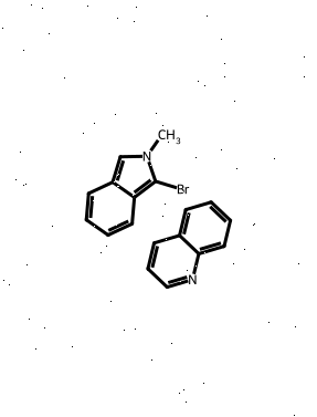 Cn1cc2ccccc2c1Br.c1ccc2ncccc2c1